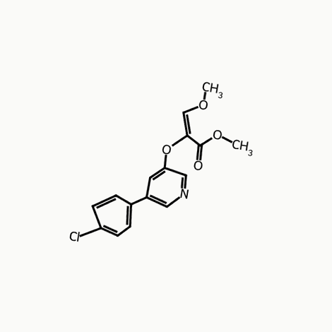 COC=C(Oc1cncc(-c2ccc(Cl)cc2)c1)C(=O)OC